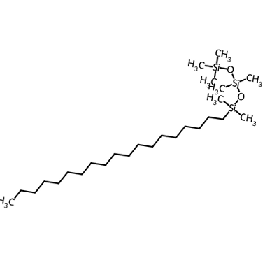 CCCCCCCCCCCCCCCCCCC[Si](C)(C)O[Si](C)(C)O[Si](C)(C)C